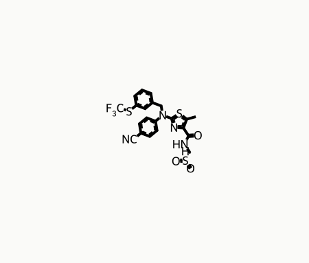 Cc1sc(N(Cc2cccc(SC(F)(F)F)c2)c2ccc(C#N)cc2)nc1C(=O)NC[SH](=O)=O